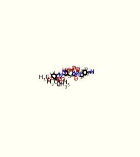 COc1ccc(CN(C(=O)OC(C)(C)C)c2cc(C[C@H]3C(=O)N(C(=O)N4CCc5cc(C#N)ccc54)[C@@H]3C(=O)O)ccn2)cc1